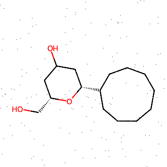 OC[C@@H]1CC(O)C[C@H](C2CCCCCCCC2)O1